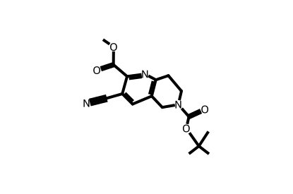 COC(=O)c1nc2c(cc1C#N)CN(C(=O)OC(C)(C)C)CC2